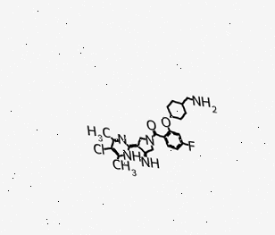 CC1=N/C(=C2\CN(C(=O)c3ccc(F)cc3OC3CCC(CN)CC3)CC2=N)NC(C)=C1Cl